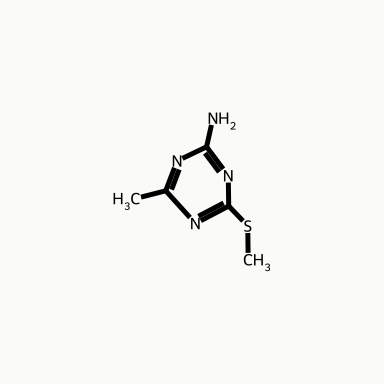 CSc1nc(C)nc(N)n1